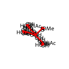 COC[C@@H]1CCCN1C(=O)CCCCCCCCCCC(=O)NC(COCCC(=O)NCCCNC(=O)CCCC(=O)NC1OC(CO)C(O)C(O)C1NC(C)=O)(COCCC(=O)NCCCNC(=O)CCCC(=O)NC1OC(CO)C(O)C(O)C1NC(C)=O)COCCC(=O)NCCCNC(=O)CCCC(=O)NC1OC(CO)C(O)C(O)C1NC(C)=O